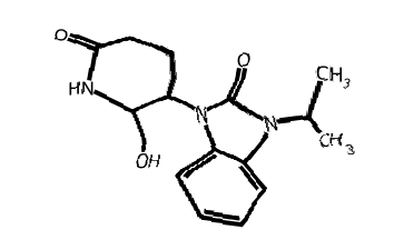 CC(C)n1c(=O)n(C2CCC(=O)NC2O)c2ccccc21